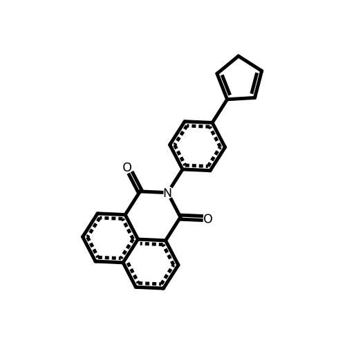 O=C1c2cccc3cccc(c23)C(=O)N1c1ccc(C2=CCC=C2)cc1